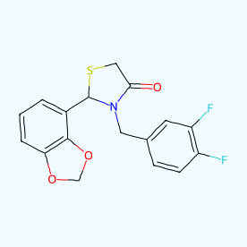 O=C1CSC(c2cccc3c2OCO3)N1Cc1ccc(F)c(F)c1